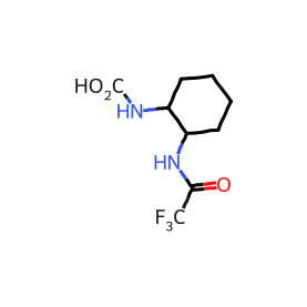 O=C(O)NC1CCCCC1NC(=O)C(F)(F)F